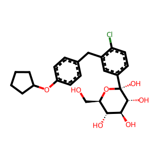 OC[C@H]1O[C@@](O)(c2ccc(Cl)c(Cc3ccc(OC4CCCC4)cc3)c2)[C@H](O)[C@@H](O)[C@@H]1O